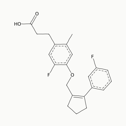 Cc1cc(OCC2=C(c3cccc(F)c3)CCC2)c(F)cc1CCC(=O)O